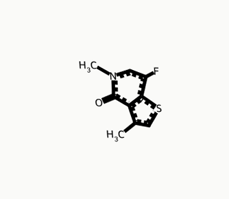 Cc1csc2c(F)cn(C)c(=O)c12